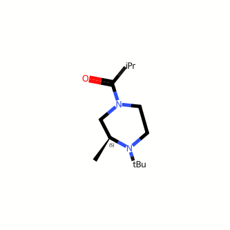 CC(C)C(=O)N1CCN(C(C)(C)C)[C@@H](C)C1